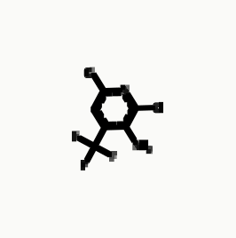 Nc1c(C(F)(F)F)cc(Cl)nc1Cl